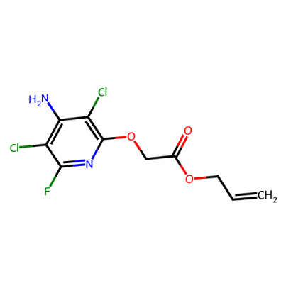 C=CCOC(=O)COc1nc(F)c(Cl)c(N)c1Cl